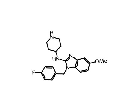 COc1ccc2c(c1)nc(NC1CCNCC1)n2Cc1ccc(F)cc1